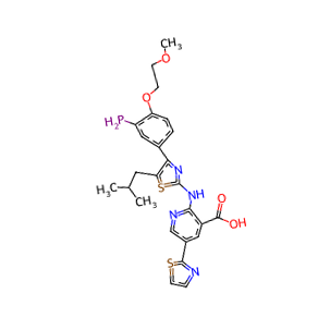 COCCOc1ccc(-c2nc(Nc3ncc(-c4nccs4)cc3C(=O)O)sc2CC(C)C)cc1P